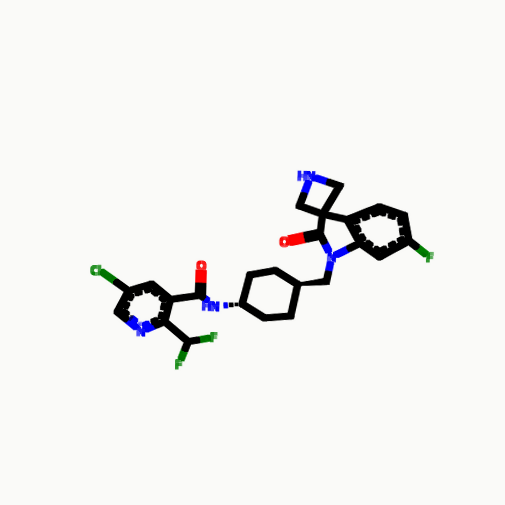 O=C(N[C@H]1CC[C@H](CN2C(=O)C3(CNC3)c3ccc(F)cc32)CC1)c1cc(Cl)cnc1C(F)F